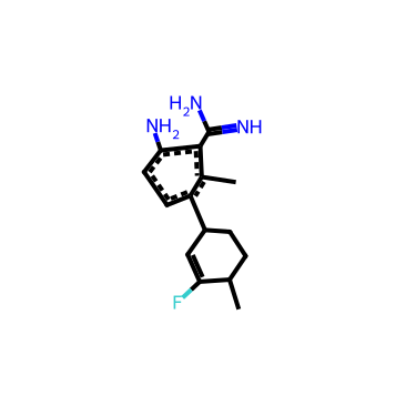 Cc1c(C2C=C(F)C(C)CC2)ccc(N)c1C(=N)N